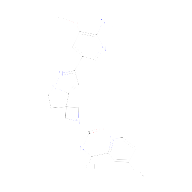 CC(NC(=O)N1CC2(CCn3nc(-c4cnc(N)c(OC(F)(F)F)c4)cc32)C1)c1cc(C#N)ccn1